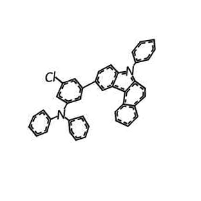 Clc1cc(-c2ccc3c(c2)c2c4ccccc4ccc2n3-c2ccccc2)cc(N(c2ccccc2)c2ccccc2)c1